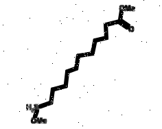 CO[SiH2]CCCCCCCCCCC(=O)OC